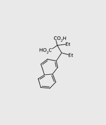 CCC(c1ccc2ccccc2c1)C(CC)(C(=O)O)C(=O)O